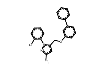 FC(F)(F)c1cc(COc2cccc(-c3ccccc3)c2)n(-c2ccccc2Cl)n1